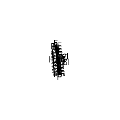 Cl[SiH2]Cl.FC(F)(F)C(F)(F)C(F)(F)C(F)(F)C(F)(F)C(F)(F)C(F)(F)C(F)(F)C(F)(F)C(F)(F)F